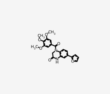 COc1cc(C(=O)N2CC(=O)Nc3cc(-c4ccco4)ccc32)cc(OC)c1OC